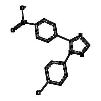 O=[N+]([O-])c1ccc(-c2ncnn2-c2ccc(Cl)cc2)cc1